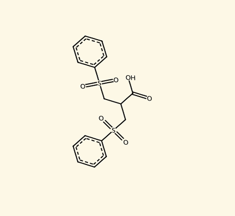 O=C(O)C(CS(=O)(=O)c1ccccc1)CS(=O)(=O)c1ccccc1